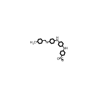 Cc1ccc(/C=N/c2ccc(Nc3ccc(Nc4ccc([N+](=O)[O-])cc4)cc3)cc2)cc1